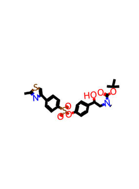 Cc1nc(-c2ccc(S(=O)(=O)Oc3ccc(C(O)CN(C)C(=O)OC(C)(C)C)cc3)cc2)cs1